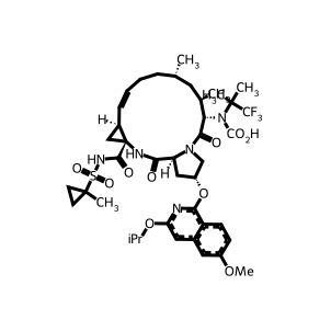 COc1ccc2c(O[C@@H]3C[C@H]4C(=O)N[C@]5(C(=O)NS(=O)(=O)C6(C)CC6)C[C@H]5C=CCC[C@H](C)C[C@@H](C)[C@H](N(C(=O)O)C(C)(C)C(F)(F)F)C(=O)N4C3)nc(OC(C)C)cc2c1